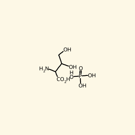 NC(C(=O)O)C(O)CO.O=P(O)(O)O